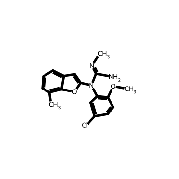 CN=C(N)N(c1cc2cccc(C)c2o1)c1cc(Cl)ccc1OC